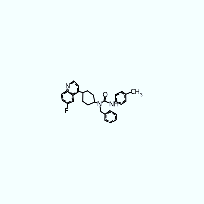 Cc1ccc(NC(=O)N(Cc2ccccc2)C2CCC(c3ccnc4ccc(F)cc34)CC2)cc1